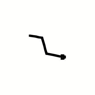 [B]CCC